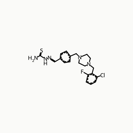 NC(=S)NN=Cc1ccc(CN2CCN(Cc3c(F)cccc3Cl)CC2)cc1